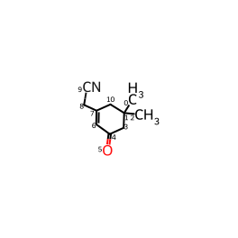 CC1(C)CC(=O)C=C(CC#N)C1